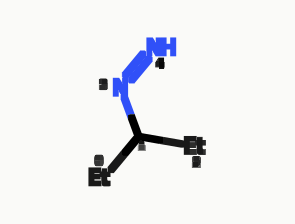 CCC(CC)N=N